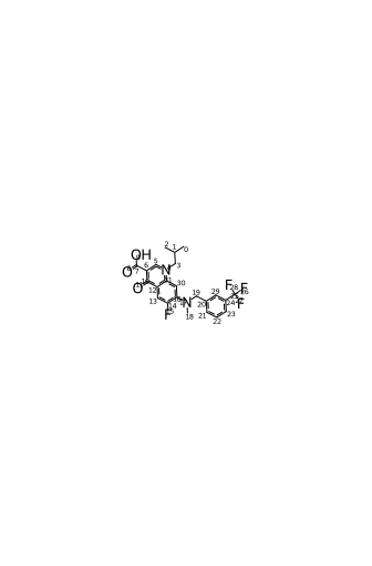 CC(C)Cn1cc(C(=O)O)c(=O)c2cc(F)c(N(C)Cc3cccc(C(F)(F)F)c3)cc21